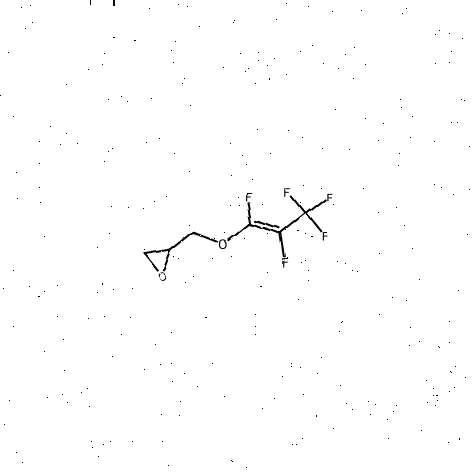 FC(OCC1CO1)=C(F)C(F)(F)F